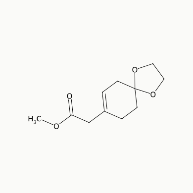 COC(=O)CC1=CCC2(CC1)OCCO2